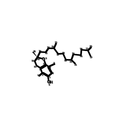 Cc1cc(O)c(C)c2c1O[C@](C)(CCCC(C)CCCC(C)CCCC(C)C)CC2